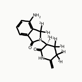 [2H]C1([2H])c2c(N)cccc2C(=O)N1[C@]1([2H])C(=O)NC(=C)C([2H])([2H])C1([2H])[2H]